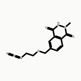 Cn1[nH]c(=O)c2cc(COCCN=[N+]=[N-])ccc2c1=O